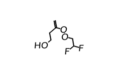 C=C(CCO)OOCC(F)F